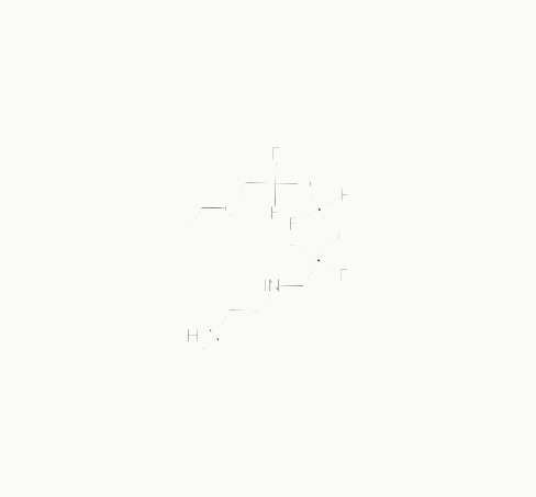 CCOCC(F)(F)OC(F)(F)OC(F)(F)CNCCN